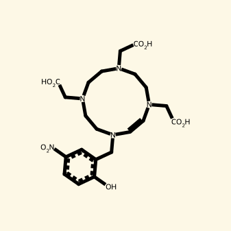 O=C(O)CN1C=CN(Cc2cc([N+](=O)[O-])ccc2O)CCN(CC(=O)O)CCN(CC(=O)O)CC1